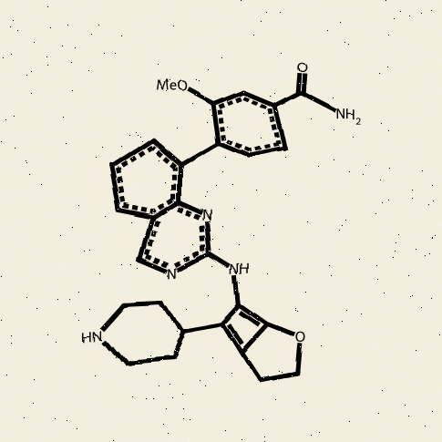 COc1cc(C(N)=O)ccc1-c1cccc2cnc(NC3=C4OCCC4=C3C3CCNCC3)nc12